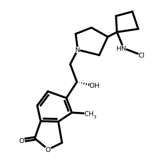 Cc1c([C@@H](O)CN2CCC(C3(NCl)CCC3)C2)ccc2c1COC2=O